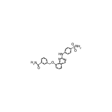 NC(=O)c1cccc(COc2cccc3cnc(Nc4ccc(S(N)(=O)=O)cc4)nc23)c1